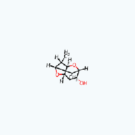 C[C@@H]1[C@@H]2O[C@H]3C[C@@H](O)[C@H]1O[C@@H]3[C@H]2C